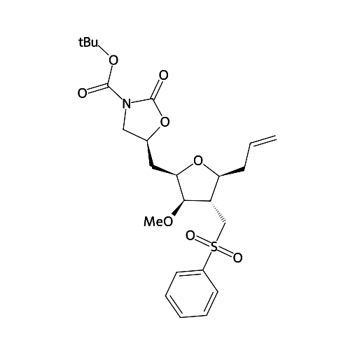 C=CC[C@@H]1O[C@H](C[C@H]2CN(C(=O)OC(C)(C)C)C(=O)O2)[C@H](OC)[C@H]1CS(=O)(=O)c1ccccc1